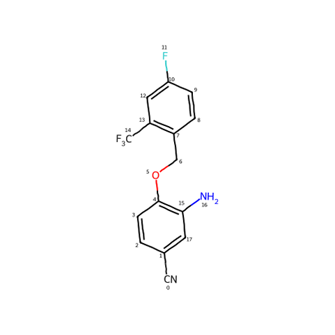 N#Cc1ccc(OCc2ccc(F)cc2C(F)(F)F)c(N)c1